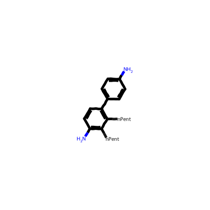 CCCCCc1c(N)ccc(-c2ccc(N)cc2)c1CCCCC